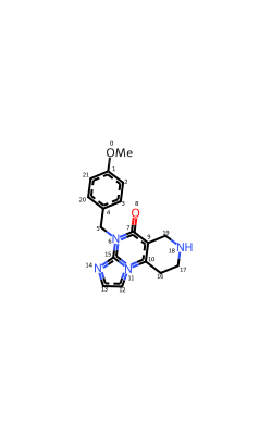 COc1ccc(Cn2c(=O)c3c(n4ccnc24)CCNC3)cc1